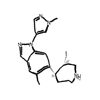 Cc1cc2cnn(-c3cnn(C)c3)c2cc1[C@H]1CCNC[C@H]1C